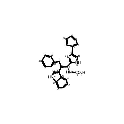 O=C(O)N[C@@H](c1nc(-c2ccccc2)c[nH]1)C(Cc1ccccc1)c1c[nH]c2ccccc12